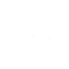 Nc1ccc(NC(=O)c2ccc(F)cc2)cc1